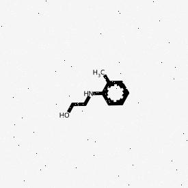 Cc1ccccc1NCCO